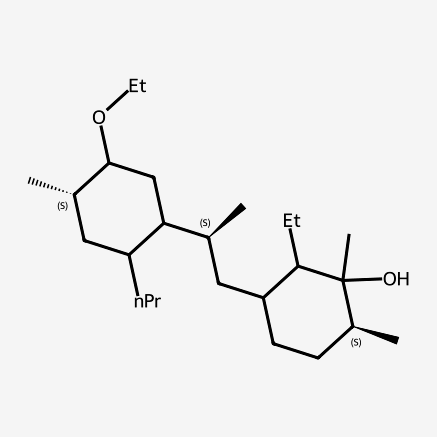 CCCC1C[C@H](C)C(OCC)CC1[C@@H](C)CC1CC[C@H](C)C(C)(O)C1CC